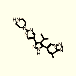 Cc1cc(-c2[nH]nc(-c3cnc(N4CCNCC4)nc3)c2C(C)C)cn2ncnc12